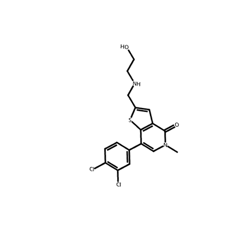 Cn1cc(-c2ccc(Cl)c(Cl)c2)c2sc(CNCCO)cc2c1=O